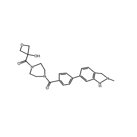 CN1Cc2ccc(-c3ccc(C(=O)N4CCN(C(=O)C5(O)COC5)CC4)cc3)cc2N1